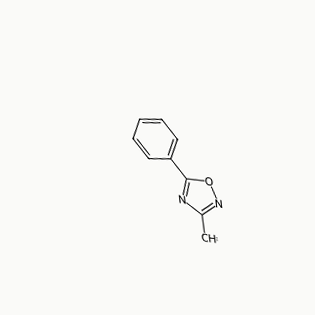 [CH]c1noc(-c2ccccc2)n1